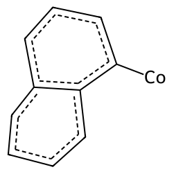 [Co][c]1cccc2ccccc12